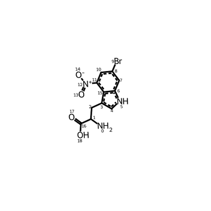 NC(Cc1c[nH]c2cc(Br)cc([N+](=O)[O-])c12)C(=O)O